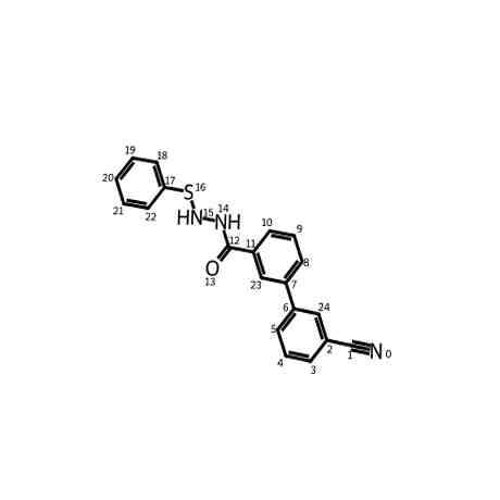 N#Cc1cccc(-c2cccc(C(=O)NNSc3ccccc3)c2)c1